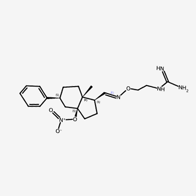 C[C@]12CC[C@H](c3ccccc3)C[C@@]1(O[N+](=O)[O-])CC[C@@H]2/C=N/OCCNC(=N)N